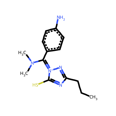 CCCC1=N[N+](=C(c2ccc(N)cc2)N(C)C)C(S)=N1